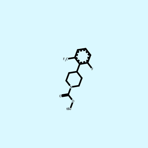 CC(C)(C)OC(=O)N1CCC(c2c(F)cccc2C(F)(F)F)CC1